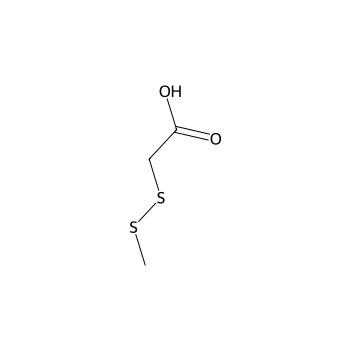 CSSCC(=O)O